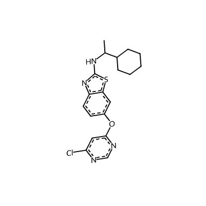 CC(Nc1nc2ccc(Oc3cc(Cl)ncn3)cc2s1)C1CCCCC1